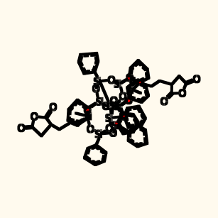 C[Si]1(CCCC2CC(=O)OC2=O)O[Si]2(c3ccccc3)O[Si]3(c4ccccc4)O[Si]4(c5ccccc5)O[Si](C)(CCCC5CC(=O)OC5=O)O[Si]5(c6ccccc6)O[Si](c6ccccc6)(O[Si](c6ccccc6)(O1)O[Si](c1ccccc1)(O5)O[Si](c1ccccc1)(O2)O4)O3